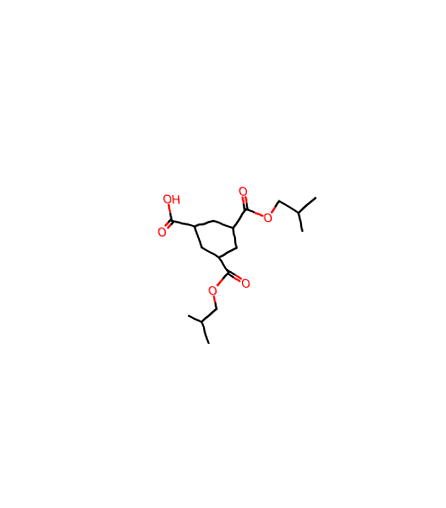 CC(C)COC(=O)C1CC(C(=O)O)CC(C(=O)OCC(C)C)C1